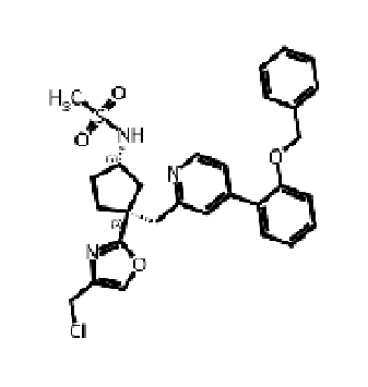 CS(=O)(=O)N[C@H]1CC[C@](Cc2cc(-c3ccccc3OCc3ccccc3)ccn2)(c2nc(CCl)co2)C1